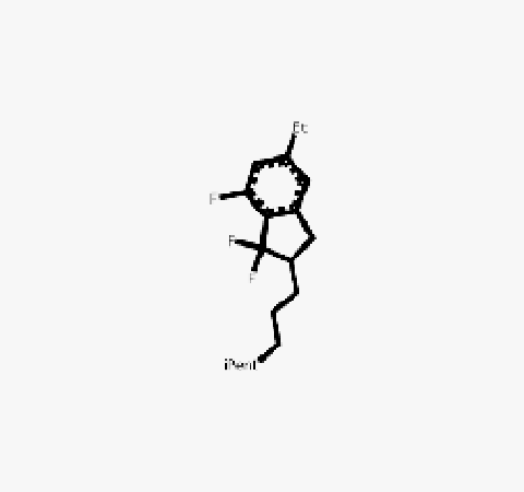 CCCC(C)CCCC1Cc2cc(CC)cc(F)c2C1(F)F